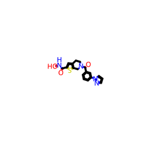 O=C(NO)c1cc2c(s1)CN(C(=O)c1cccc(-n3cccn3)c1)CC2